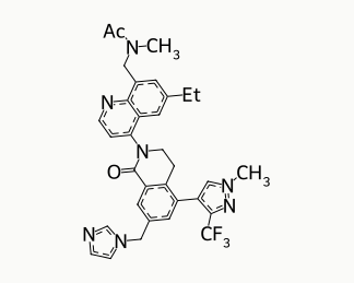 CCc1cc(CN(C)C(C)=O)c2nccc(N3CCc4c(cc(Cn5ccnc5)cc4-c4cn(C)nc4C(F)(F)F)C3=O)c2c1